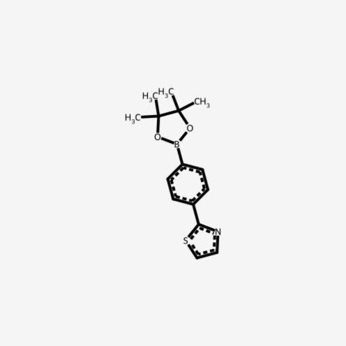 CC1(C)OB(c2ccc(-c3nccs3)cc2)OC1(C)C